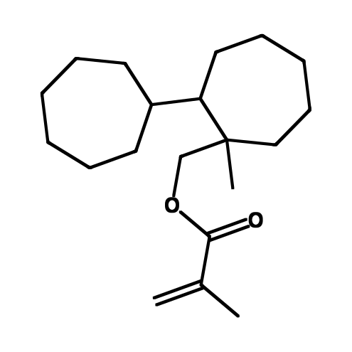 C=C(C)C(=O)OCC1(C)CCCCCC1C1CCCCCC1